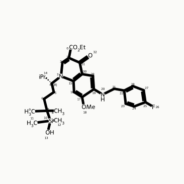 CCOC(=O)c1cn([C@H](CCC(C)(C)[Si](C)(C)O)C(C)C)c2cc(OC)c(NCc3ccc(F)cc3)cc2c1=O